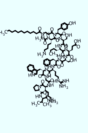 CCCCCCCCCCCC(=O)NCCC(=O)N(C(=O)[C@H](CCCCN)NC(C)=O)[C@@H](Cc1ccc(O)cc1)C(=O)N[C@@H](CO)C(=O)N[C@@H](CCCC)C(=O)N[C@@H](CCC(=O)O)C(=O)N[C@@H](CO)C(=O)N[C@H](Cc1ccccc1)C(=O)N[C@@H](CCCNC(=N)N)C(=O)N[C@@H](Cc1c[nH]c2ccccc12)C(=O)NCC(=O)N[C@@H](CCCCN)C(=O)N1CCC[C@H]1C(=O)N[C@H](C(N)=O)C(C)C